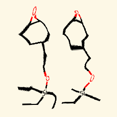 CC[Si](C)(C)OCCC1CCC2OC2C1.CC[Si](CC)(CC)OCCC1CCC2OC2C1